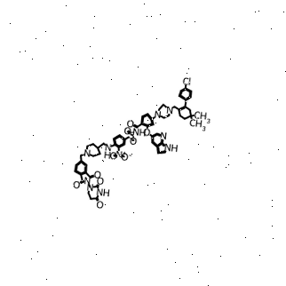 CC1(C)CCC(CN2CCN(c3ccc(C(=O)NS(=O)(=O)c4ccc(NCC5CCN(Cc6ccc7c(c6)C(=O)N(N6CCC(=O)NC6=O)C7=O)CC5)c([N+](=O)[O-])c4)c(Oc4cnc5[nH]ccc5c4)c3)CC2)=C(c2ccc(Cl)cc2)C1